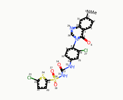 CNc1ccc2c(=O)n(-c3ccc(NC(=O)NS(=O)(=O)c4ccc(Cl)s4)cc3Cl)cnc2c1